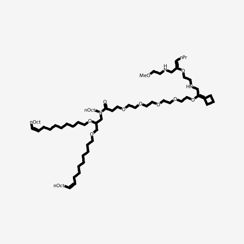 CCC/C=C(/CNCCOC)OCCNCC(OCCOCCOCCOCCOCCC(=O)N(CCCCCCCC)CC(COCCCCCCCC/C=C\CCCCCCCC)OCCCCCCCC/C=C\CCCCCCCC)=C1CCC1